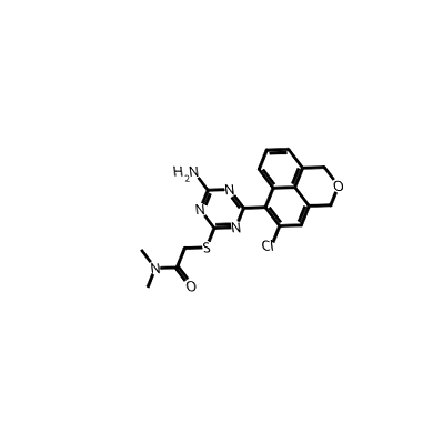 CN(C)C(=O)CSc1nc(N)nc(-c2c(Cl)cc3c4c(cccc24)COC3)n1